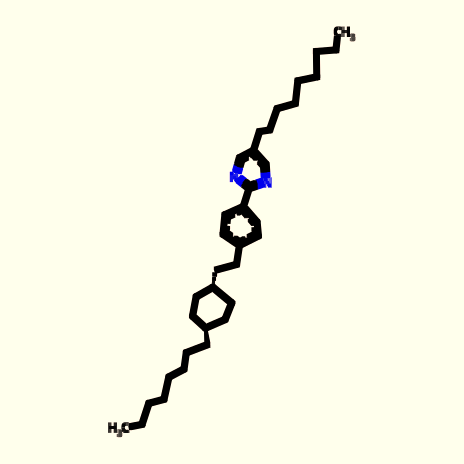 CCCCCCCCCc1cnc(-c2ccc(CC[C@H]3CC[C@H](CCCCCCCC)CC3)cc2)nc1